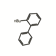 [CH2]CCCc1ccccc1-c1ccccc1